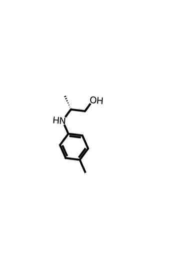 Cc1ccc(N[C@H](C)CO)cc1